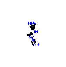 Cc1cc(Nc2ccc3[nH]ncc3c2)nc(N2CC3CNC(C3)C2)n1